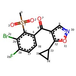 CS(=O)(=O)c1c(C(=O)c2cnoc2C2CC2)ccc(F)c1Br